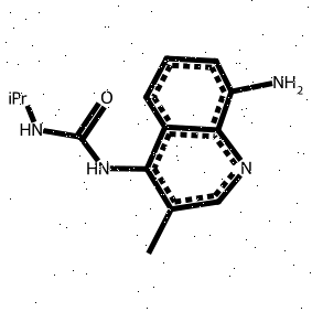 Cc1cnc2c(N)cccc2c1NC(=O)NC(C)C